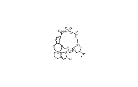 C[C@@H]1[C@@H](C)CCC[C@]2(OC[C@H](N(C)C)CO2)[C@@H]2CC[C@H]2CN2C[C@@]3(CCCc4cc(Cl)ccc43)COc3ccc(cc32)C(=O)NS1(=O)=O